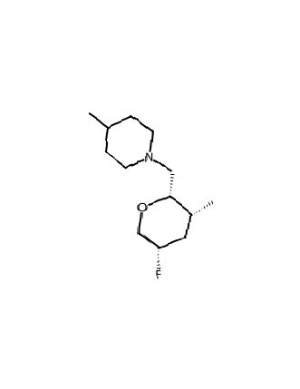 CC1CCN(C[C@H]2OC[C@@H](F)C[C@H]2C)CC1